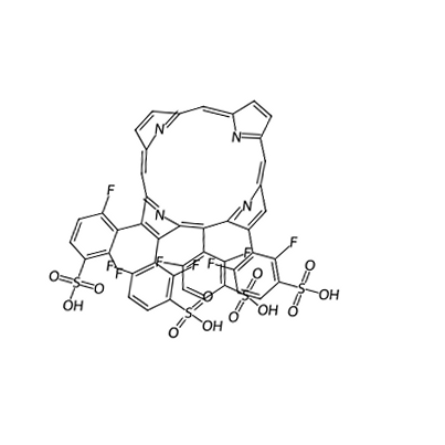 O=S(=O)(O)c1ccc(F)c(C2=CC3=CC4=NC(=CC5=NC(=CC6=NC(=C(c7c(F)ccc(S(=O)(=O)O)c7F)C2=N3)C(c2c(F)ccc(S(=O)(=O)O)c2F)=C6c2c(F)ccc(S(=O)(=O)O)c2F)C=C5)C=C4)c1F